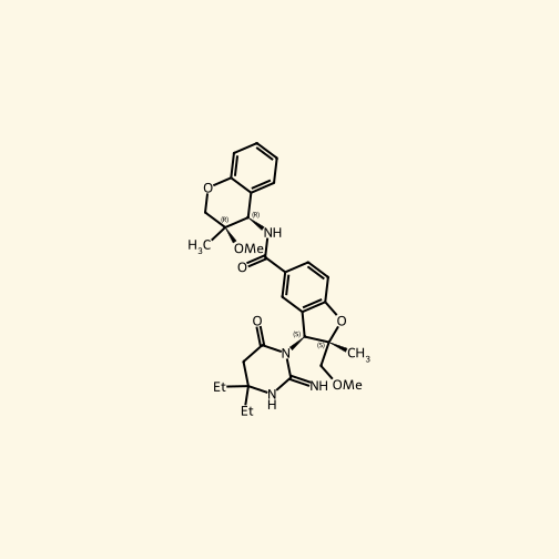 CCC1(CC)CC(=O)N([C@H]2c3cc(C(=O)N[C@@H]4c5ccccc5OC[C@]4(C)OC)ccc3O[C@]2(C)COC)C(=N)N1